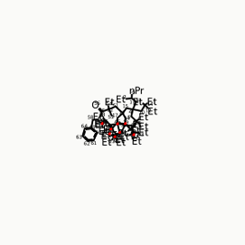 CCCC(CC)CC(CC(CC)(CC)CC)(CC(CC)(CC)CC)CC(CC(CC(CC)(CC)CC)(CC(CC)(CC)CC)CC(CC)(CC)CC)(CC(CC(CC)(CC)CC)(CC(CC)(CC)CC)CC(CC)(CC)CC)CC(C)(CC)C(=O)OCc1ccccc1